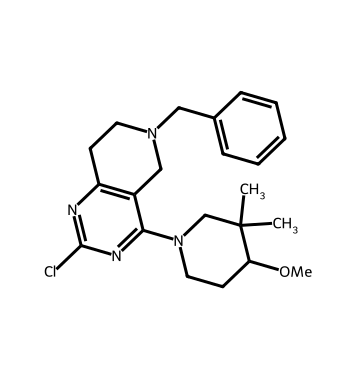 COC1CCN(c2nc(Cl)nc3c2CN(Cc2ccccc2)CC3)CC1(C)C